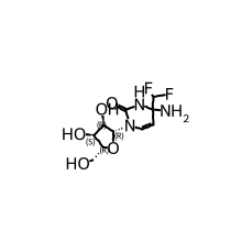 NC1(C(F)F)C=CN([C@@H]2O[C@H](CO)[C@@H](O)[C@H]2O)C(=O)N1